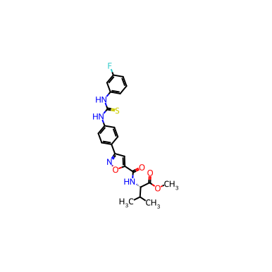 COC(=O)[C@@H](NC(=O)c1cc(-c2ccc(NC(=S)Nc3cccc(F)c3)cc2)no1)C(C)C